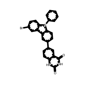 O=c1[nH]c(=O)c2cc(-c3ccc4c(c3)c3cc(Br)ccc3n4-c3ccccc3)ccc2[nH]1